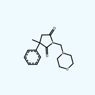 CC1(c2ccccc2)CC(=O)N(CN2CCOCC2)C1=O